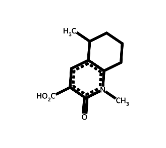 CC1CCCc2c1cc(C(=O)O)c(=O)n2C